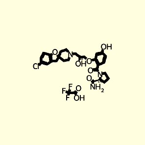 NC(=O)[C@@H]1CCCN1C(=O)c1ccc(O)cc1OC[C@@H](O)CN1CCC2(CC1)Cc1cc(Cl)ccc1O2.O=C(O)C(F)(F)F